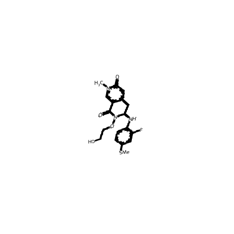 CSc1ccc(NC2Cc3cc(=O)n(C)cc3C(=O)N2OCCO)c(F)c1